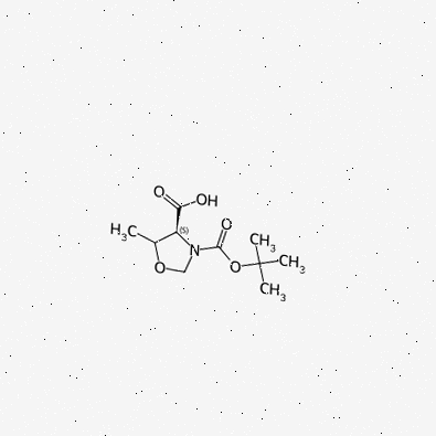 CC1OCN(C(=O)OC(C)(C)C)[C@@H]1C(=O)O